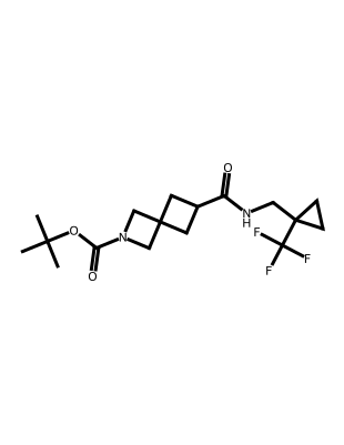 CC(C)(C)OC(=O)N1CC2(CC(C(=O)NCC3(C(F)(F)F)CC3)C2)C1